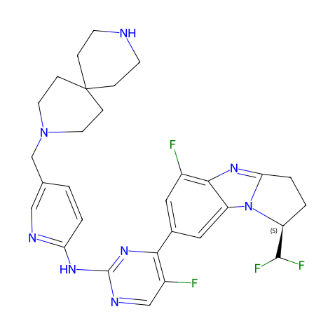 Fc1cnc(Nc2ccc(CN3CCC4(CCNCC4)CC3)cn2)nc1-c1cc(F)c2nc3n(c2c1)[C@H](C(F)F)CC3